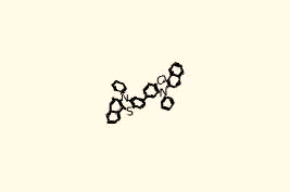 c1ccc(N2c3cc(-c4ccc5c(c4)N(c4ccccc4)c4ccc6ccccc6c4S5)ccc3Oc3c2ccc2ccccc32)cc1